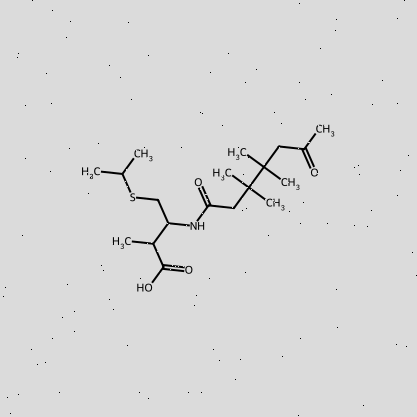 CC(=O)CC(C)(C)C(C)(C)CC(=O)NC(CSC(C)C)C(C)C(=O)O